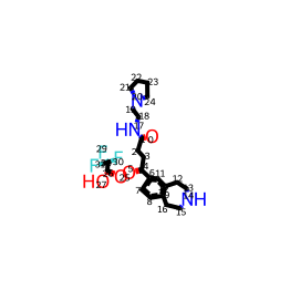 O=C(CCC(=O)c1ccc2c(c1)CCNCC2)NCCN1CCCC1.O=C(O)C(F)(F)F